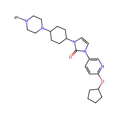 CC(C)N1CCN(C2CCC(n3ccn(-c4ccc(OC5CCCC5)nc4)c3=O)CC2)CC1